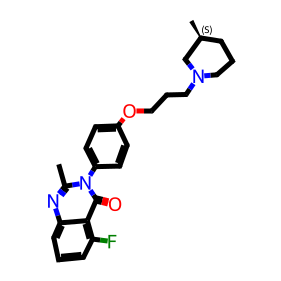 Cc1nc2cccc(F)c2c(=O)n1-c1ccc(OCCCN2CCC[C@H](C)C2)cc1